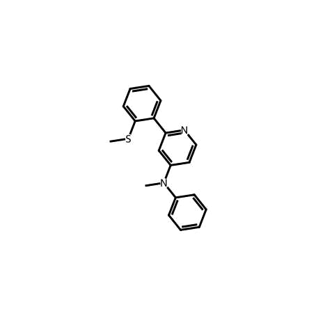 CSc1ccccc1-c1cc(N(C)c2ccccc2)ccn1